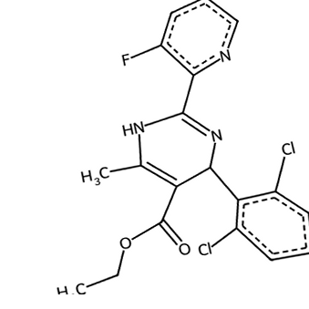 CCOC(=O)C1=C(C)NC(c2ncccc2F)=NC1c1c(Cl)cccc1Cl